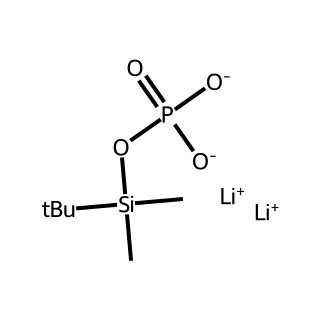 CC(C)(C)[Si](C)(C)OP(=O)([O-])[O-].[Li+].[Li+]